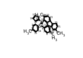 Cc1ccc([Si](c2ccc(C)cc2)=[Zr]([C]2=CC=CC2)[c]2c(C)ccc3c2Cc2cc(C)ccc2-3)cc1